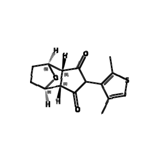 Cc1csc(C)c1C1C(=O)[C@@H]2[C@H](C1=O)[C@H]1CC[C@@H]2O1